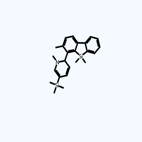 Cc1ccc2c(c1C1C=CC([Si](C)(C)C)=CN1C)[Si](C)(C)c1ccccc1-2